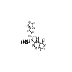 Cl.Cl.Clc1cccc2c1NC(SCCCCN1CCCC1)=NC2